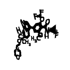 COc1cc(-c2cnn3cc(C(C)(C)OCCN4CCOCC4)ccc23)cc(OC(F)F)c1C(=O)N[C@@H]1C[C@@H]1F